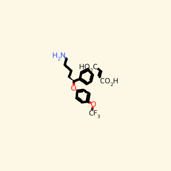 NCCCC[C@H](Oc1ccc(OC(F)(F)F)cc1)c1ccccc1.O=C(O)/C=C/C(=O)O